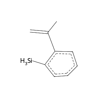 C=C(C)c1ccccc1[SiH3]